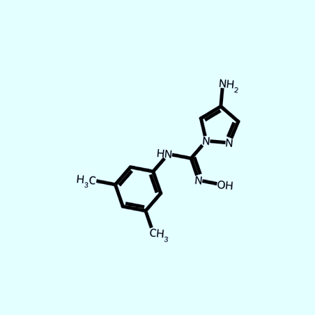 Cc1cc(C)cc(NC(=NO)n2cc(N)cn2)c1